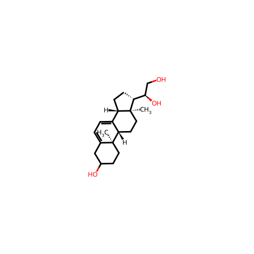 C[C@]12CC[C@H]3C(=CC=C4CC(O)CC[C@@]43C)[C@@H]1CC[C@@H]2[C@H](O)CO